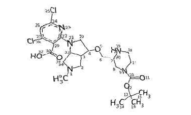 CN1CC2C(OC[C@H]3CN(C(=O)OC(C)(C)C)CCN3)CN(c3nc(Cl)cc(Cl)c3C(=O)O)C2C1